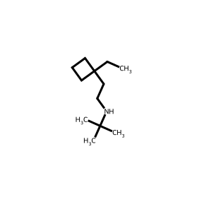 CCC1(CCNC(C)(C)C)CCC1